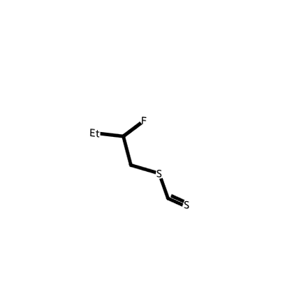 CCC(F)CSC=S